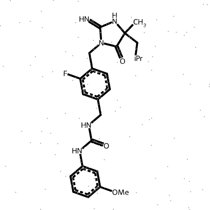 COc1cccc(NC(=O)NCc2ccc(CN3C(=N)NC(C)(CC(C)C)C3=O)c(F)c2)c1